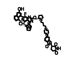 CCc1cccc2cc(O)cc(-c3ncc4c(N5CC6CCC(C5)N6)nc(OC[C@@H]5CCCN5CCCCN5CCN(c6ccc7c(c6)CN([C@H]6CCC(=O)NC6=O)C7=O)CC5)nc4c3F)c12